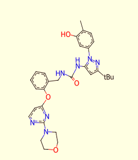 Cc1ccc(-n2nc(C(C)(C)C)cc2NC(=O)NCc2ccccc2Oc2ccnc(N3CCOCC3)n2)cc1O